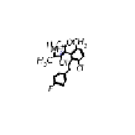 CC(=N)/C(O)=C(\C(C)=O)c1c(C)ccc(Cl)c1CCc1ccc(F)cc1